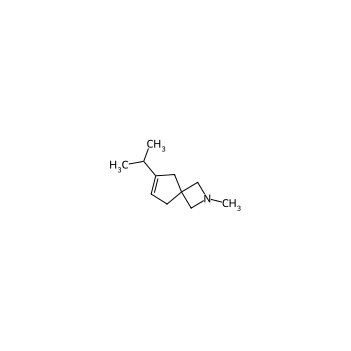 CC(C)C1=CCC2(C1)CN(C)C2